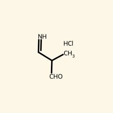 CC(C=N)C=O.Cl